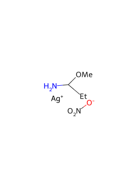 CCC(N)OC.O=[N+]([O-])[O-].[Ag+]